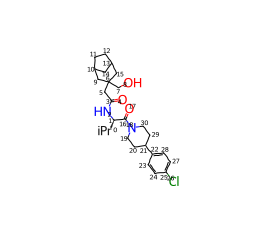 CC(C)[C@@H](NC(=O)CC1(CO)CC2CCC(C2)C1)C(=O)N1CCC(c2ccc(Cl)cc2)CC1